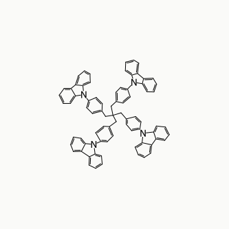 c1ccc2c(c1)c1ccccc1n2-c1ccc(CC(Cc2ccc(-n3c4ccccc4c4ccccc43)cc2)(Cc2ccc(-n3c4ccccc4c4ccccc43)cc2)Cc2ccc(-n3c4ccccc4c4ccccc43)cc2)cc1